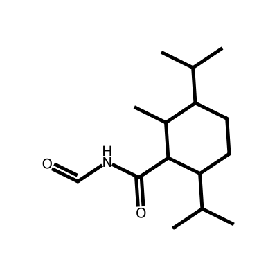 CC(C)C1CCC(C(C)C)C(C(=O)NC=O)C1C